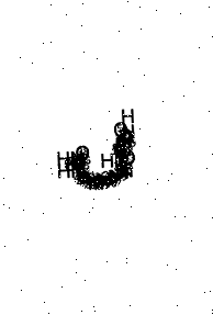 C[C@@H]1CNC(=O)c2cc3ccc(C(=O)Nc4cnn(Cc5ccc(N6CCN(Cc7ccc(NC8CCC(=O)NC8=O)cc7)CC6)cc5)c4)nc3n21